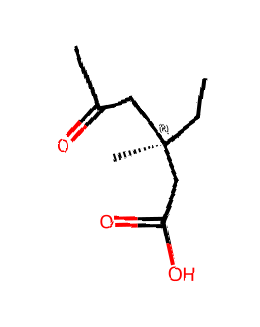 CC[C@](C)(CC(C)=O)CC(=O)O